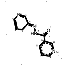 O=C(NN=C1C=NC=CC1)c1cccnc1